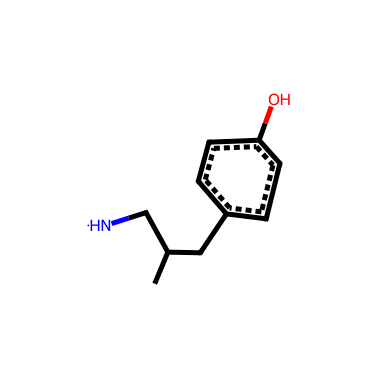 CC(C[NH])Cc1ccc(O)cc1